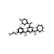 CN1CCC(N(C)c2nc(Nc3cccc(OCBr)c3)nc(NC3CCCCCC3)n2)CC1